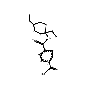 CCC1CCC(CC)(OC(=O)c2ccc(C(=O)O)cc2)CC1